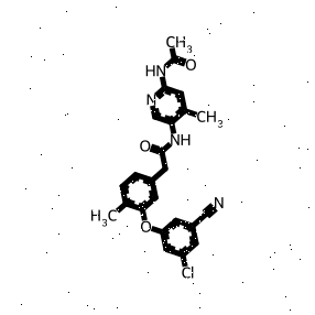 CC(=O)Nc1cc(C)c(NC(=O)Cc2ccc(C)c(Oc3cc(Cl)cc(C#N)c3)c2)cn1